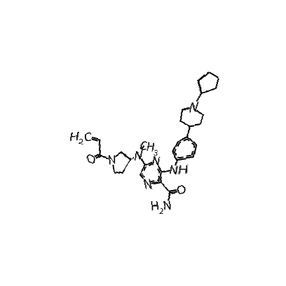 C=CC(=O)N1CC[C@@H](N(C)c2cnc(C(N)=O)c(Nc3ccc(C4CCN(C5CCCC5)CC4)cc3)n2)C1